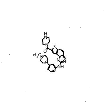 CN1CCN(c2cccc(Nc3ncc4ccc5sc(C(=O)N6CCNCC6)cc5c4n3)c2)CC1